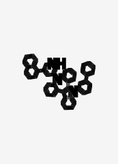 C1=C(c2cccc3ccccc23)CNC=C1N1c2ccccc2-c2c(n(-c3cccc(-c4ccccc4)c3)c3ccccc23)-c2ccccc21